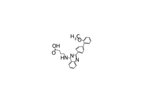 COc1ccccc1-c1ccc(-c2nc(NCCCC(=O)O)c3ccccc3n2)cc1